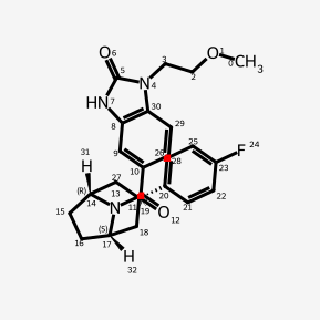 COCCn1c(=O)[nH]c2cc(C(=O)N3[C@@H]4CC[C@H]3C[C@@H](c3ccc(F)cc3)C4)ccc21